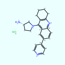 Cl.N[C@H]1CCN(c2c3c(nc4ccc(-c5ccncc5)cc24)CCCC3)C1